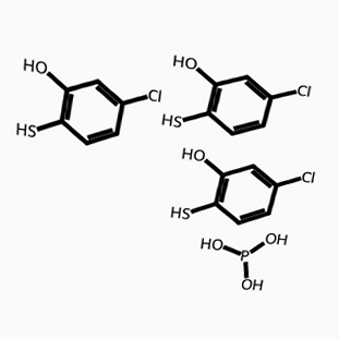 OP(O)O.Oc1cc(Cl)ccc1S.Oc1cc(Cl)ccc1S.Oc1cc(Cl)ccc1S